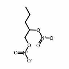 [CH2]CCC(CO[N+](=O)[O-])O[N+](=O)[O-]